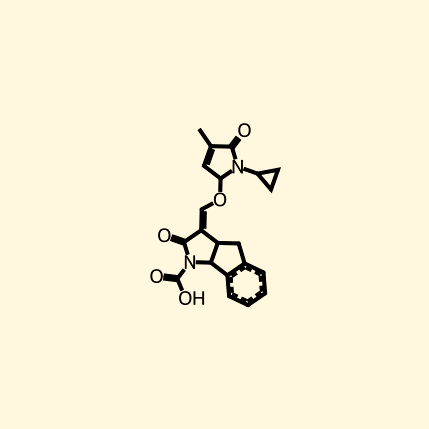 CC1=CC(O/C=C2/C(=O)N(C(=O)O)C3c4ccccc4CC23)N(C2CC2)C1=O